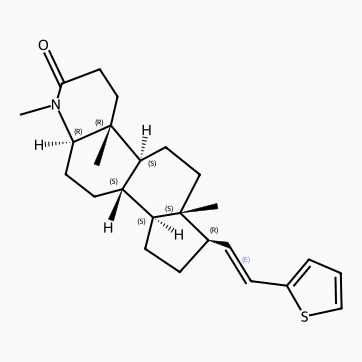 CN1C(=O)CC[C@]2(C)[C@H]3CC[C@]4(C)[C@@H](/C=C/c5cccs5)CC[C@H]4[C@@H]3CC[C@@H]12